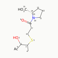 CC(=O)C(O)C(C)SCCC(=O)N1CCC[C@H]1C(=O)O